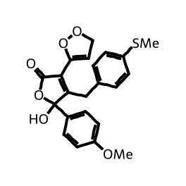 COc1ccc(C2(O)OC(=O)C(C3=CCOO3)=C2Cc2ccc(SC)cc2)cc1